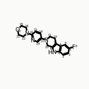 Fc1ccc2[nH]c3c(c2c1)CCN(c1ccc(N2CCOCC2)nc1)C3